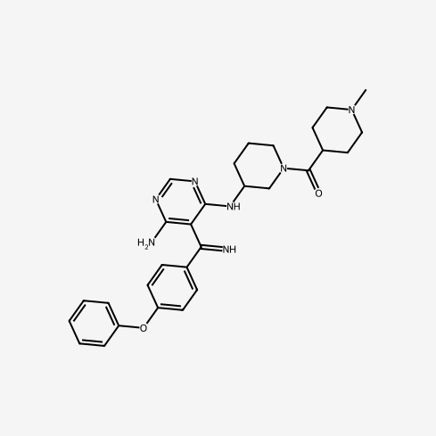 CN1CCC(C(=O)N2CCCC(Nc3ncnc(N)c3C(=N)c3ccc(Oc4ccccc4)cc3)C2)CC1